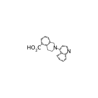 O=C(O)c1cccc2c1CCN(c1ccnc3ccccc13)C2